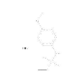 Br.CCC(C)(C)Pc1ccc(OC)cc1